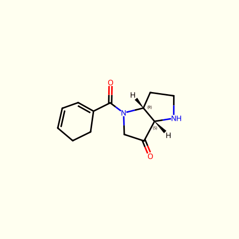 O=C1CN(C(=O)C2=CC=CCC2)[C@@H]2CCN[C@H]12